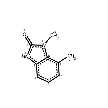 Cc1cccc2[nH]c(=O)n(C)c12